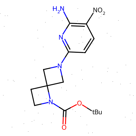 CC(C)(C)OC(=O)N1CCC12CN(c1ccc([N+](=O)[O-])c(N)n1)C2